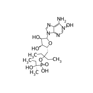 CCC(CC)(C[C@H]1OC(n2cnc3c(N)[n+](O)cnc32)[C@H](O)[C@@H]1O)OP(=O)(O)[C@@](C)(O)CC